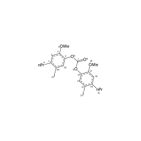 CCCc1cc(OC)c(OC(=O)Oc2cc(I)c(CCC)cc2OC)cc1I